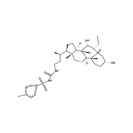 CC[C@H]1[C@@H](O)[C@@H]2[C@H](CC[C@]3(C)[C@@H]([C@H](C)CCNC(=O)NS(=O)(=O)c4ccc(C)cc4)CC[C@@H]23)[C@@]2(C)CC[C@@H](O)C[C@@H]12